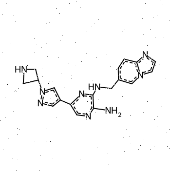 Nc1ncc(-c2cnn(C3CNC3)c2)nc1NCc1ccc2nccn2c1